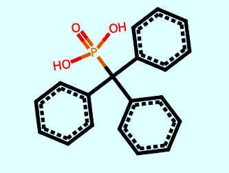 O=P(O)(O)C(c1ccccc1)(c1ccccc1)c1ccccc1